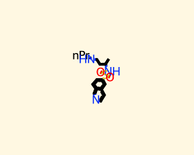 CCCNCCC(C)NS(=O)(=O)c1ccc2cnccc2c1